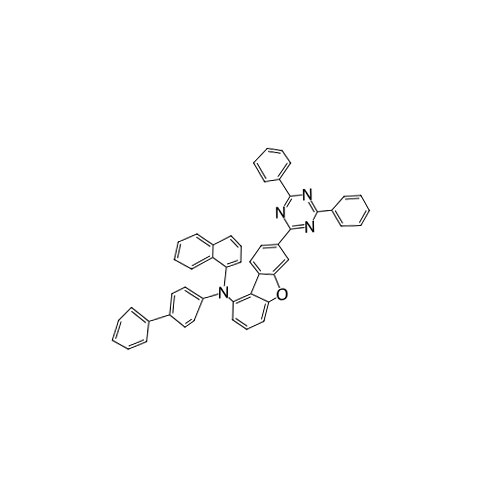 c1ccc(-c2ccc(N(c3cccc4ccccc34)c3cccc4oc5cc(-c6nc(-c7ccccc7)nc(-c7ccccc7)n6)ccc5c34)cc2)cc1